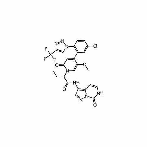 CCC(C(=O)Nc1cnn2c(=O)[nH]ccc12)n1cc(OC)c(-c2cc(Cl)ccc2-n2cc(C(F)(F)F)nn2)cc1=O